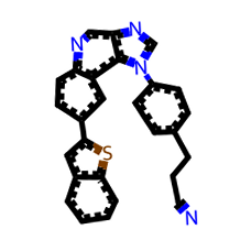 N#CCCc1ccc(-n2cnc3cnc4ccc(-c5cc6ccccc6s5)cc4c32)cc1